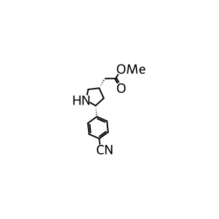 COC(=O)C[C@H]1CN[C@@H](c2ccc(C#N)cc2)C1